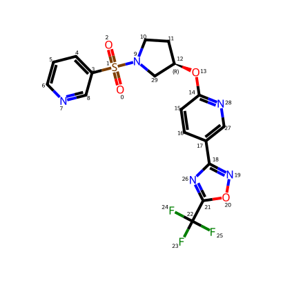 O=S(=O)(c1cccnc1)N1CC[C@@H](Oc2ccc(-c3noc(C(F)(F)F)n3)cn2)C1